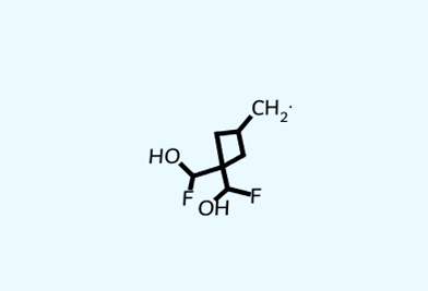 [CH2]C1CC(C(O)F)(C(O)F)C1